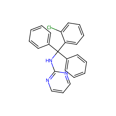 Clc1ccccc1C(Nc1ncccn1)(c1ccccc1)c1ccccc1